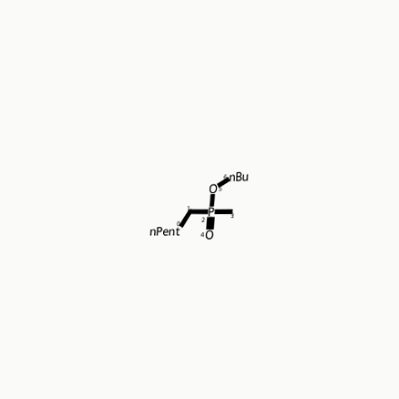 CCCCCCP(C)(=O)OCCCC